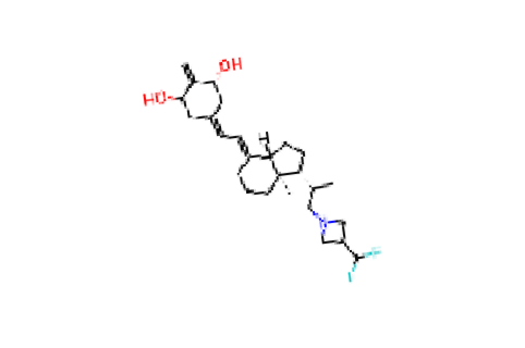 C=C1[C@H](O)CC(=C/C=C2\CCC[C@]3(C)[C@@H](C(C)CN4CC(C(F)F)C4)CC[C@@H]23)C[C@H]1O